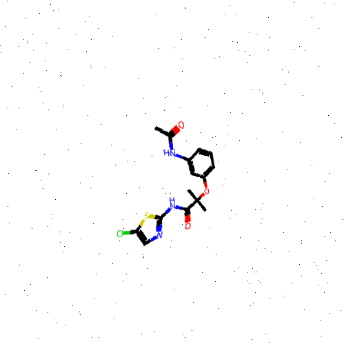 CC(=O)Nc1cccc(OC(C)(C)C(=O)Nc2ncc(Cl)s2)c1